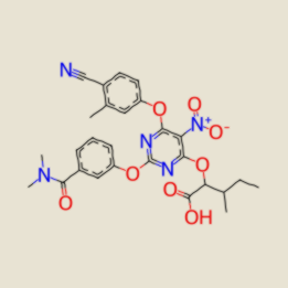 CCC(C)C(Oc1nc(Oc2cccc(C(=O)N(C)C)c2)nc(Oc2ccc(C#N)c(C)c2)c1[N+](=O)[O-])C(=O)O